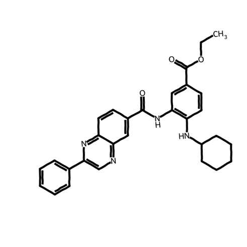 CCOC(=O)c1ccc(NC2CCCCC2)c(NC(=O)c2ccc3nc(-c4ccccc4)cnc3c2)c1